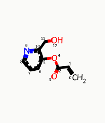 C=CC(=O)Oc1cccnc1CO